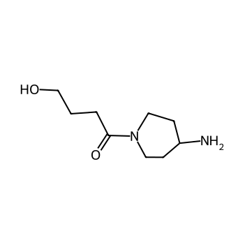 NC1CCN(C(=O)CCCO)CC1